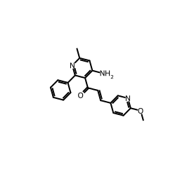 COc1ccc(C=CC(=O)c2c(N)cc(C)nc2-c2ccccc2)cn1